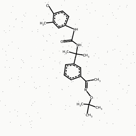 C/C(=N\OC(C)(C)C)c1cccc(C(C)(C)NC(=O)Nc2ccc(Cl)c(C)c2)c1